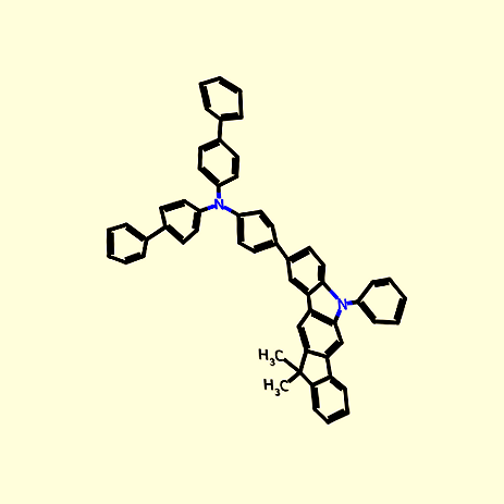 CC1(C)c2ccccc2-c2cc3c(cc21)c1cc(-c2ccc(N(c4ccc(-c5ccccc5)cc4)c4ccc(-c5ccccc5)cc4)cc2)ccc1n3-c1ccccc1